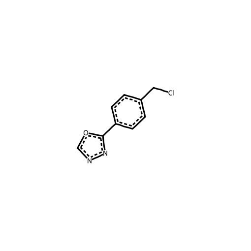 ClCc1ccc(-c2nnco2)cc1